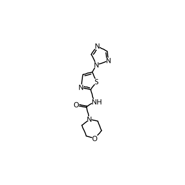 O=C(Nc1ncc(-n2cncn2)s1)N1CCOCC1